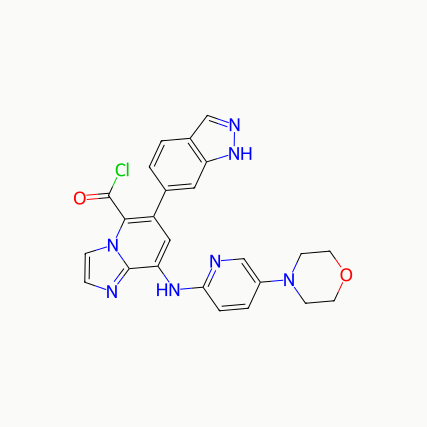 O=C(Cl)c1c(-c2ccc3cn[nH]c3c2)cc(Nc2ccc(N3CCOCC3)cn2)c2nccn12